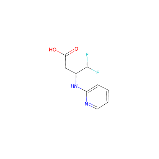 O=C(O)CC(Nc1ccccn1)C(F)F